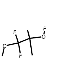 COC(F)(F)C(C)(C)OF